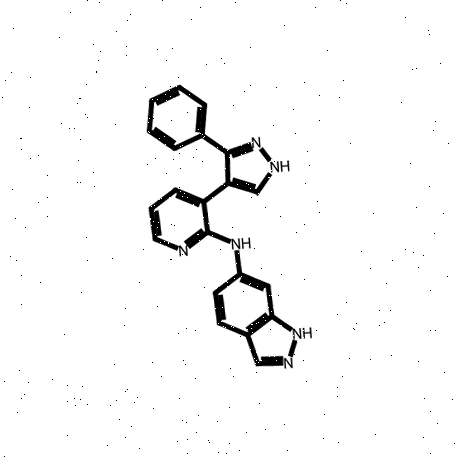 [c]1[nH]nc(-c2ccccc2)c1-c1cccnc1Nc1ccc2cn[nH]c2c1